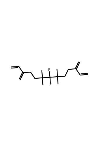 C=CC(=C)CCC(C)(C)C(F)(F)C(C)(C)CCC(=C)C=C